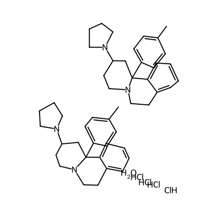 Cc1ccc(C23CC(N4CCCC4)CCN2CCc2ccccc23)cc1.Cc1ccc(C23CC(N4CCCC4)CCN2CCc2ccccc23)cc1.Cl.Cl.Cl.Cl.O